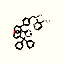 CCCN(Cc1ccc(-c2ccccc2-c2nnnn2C(c2ccccc2)(c2ccccc2)c2ccccc2)cc1)c1nnccc1C(=O)OCC